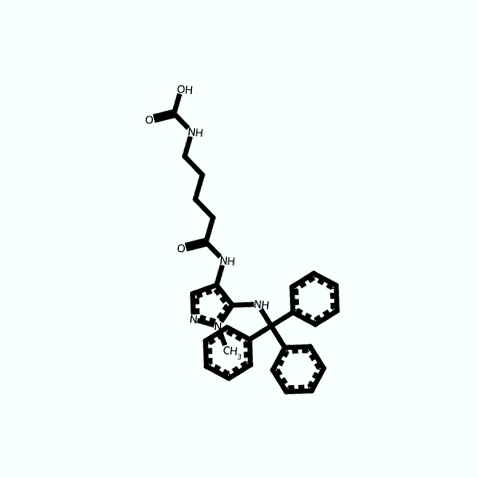 Cn1ncc(NC(=O)CCCCNC(=O)O)c1NC(c1ccccc1)(c1ccccc1)c1ccccc1